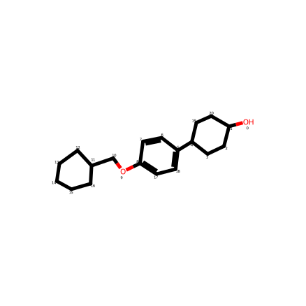 OC1CCC(c2ccc(OCC3CCCCC3)cc2)CC1